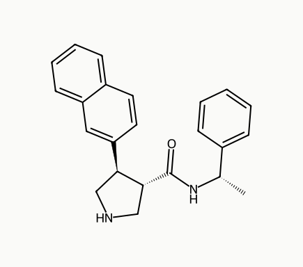 C[C@H](NC(=O)[C@@H]1CNC[C@H]1c1ccc2ccccc2c1)c1ccccc1